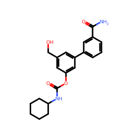 NC(=O)c1cccc(-c2cc(CO)cc(OC(=O)NC3CCCCC3)c2)c1